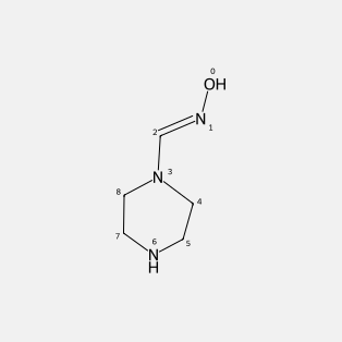 ON=CN1CCNCC1